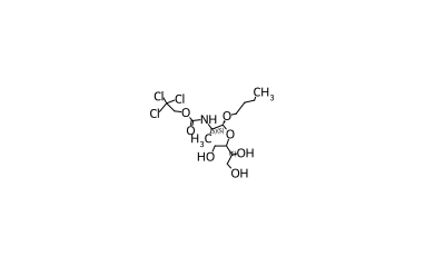 CCCCO[C@@H](OC(CO)[C@@H](O)CO)[C@H](C)NC(=O)OCC(Cl)(Cl)Cl